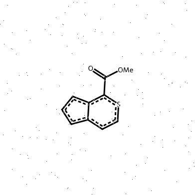 COC(=O)c1sccc2[c]ccc1-2